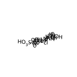 O=C(c1ccc(-c2ccc(-c3nc4nc(O[C@@H]5CO[C@H]6[C@@H]5OC[C@H]6O)[nH]c4cc3Cl)cc2)cc1)N(CCCS(=O)(=O)O)C(CO)(CO)CO